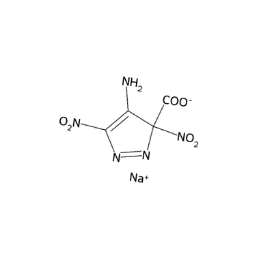 NC1=C([N+](=O)[O-])N=NC1(C(=O)[O-])[N+](=O)[O-].[Na+]